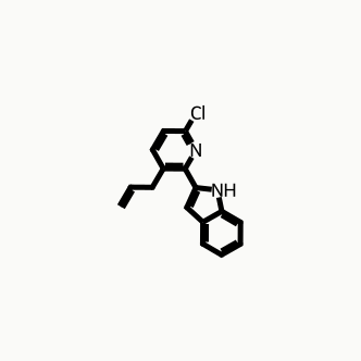 C=CCc1ccc(Cl)nc1-c1cc2ccccc2[nH]1